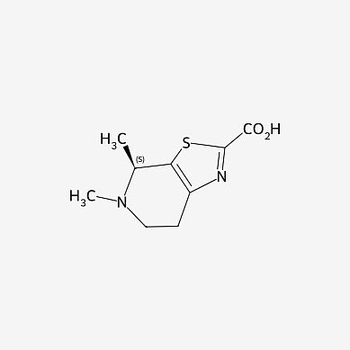 C[C@H]1c2sc(C(=O)O)nc2CCN1C